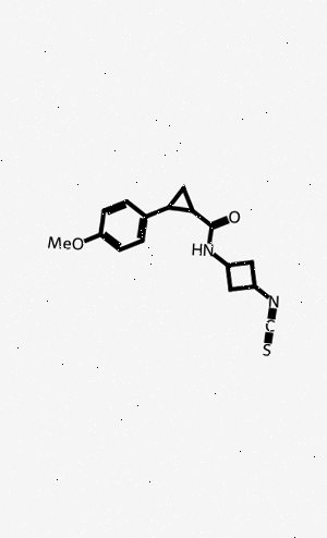 COc1ccc(C2CC2C(=O)NC2CC(N=C=S)C2)cc1